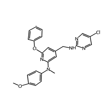 COc1ccc(N(C)c2cc(CNc3ncc(Cl)cn3)cc(Oc3cc[c]cc3)n2)cc1